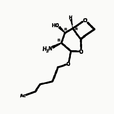 CC(=O)CCCCOC1OC2CO[C@@H]2[C@H](O)[C@@H]1N